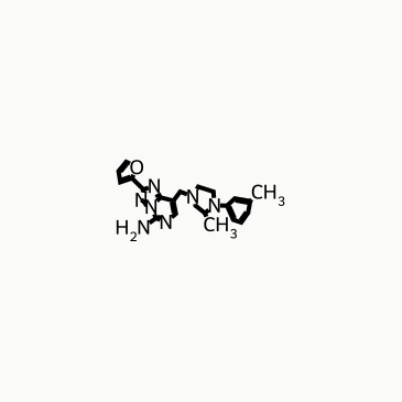 Cc1cccc(N2CCN(Cc3cnc(N)n4nc(-c5ccco5)nc34)CC2C)c1